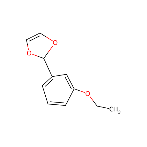 CCOc1cccc(C2OC=CO2)c1